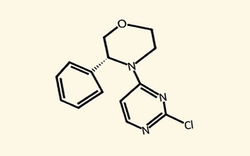 Clc1nccc(N2CCOC[C@H]2c2ccccc2)n1